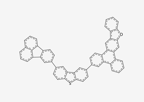 c1cc2c3c(cccc3c1)-c1cc(-c3ccc4sc5ccc(-c6ccc7c(c6)c6ccccc6c6cc8oc9ccccc9c8cc76)cc5c4c3)ccc1-2